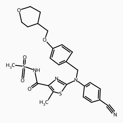 Cc1sc(N(Cc2ccc(OCC3CCOCC3)cc2)c2ccc(C#N)cc2)nc1C(=O)NS(C)(=O)=O